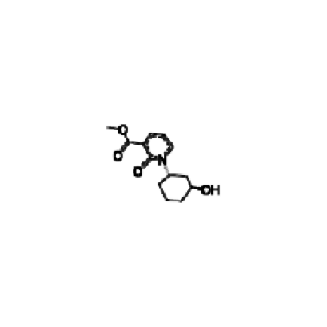 COC(=O)c1cccn([C@H]2CCC[C@H](O)C2)c1=O